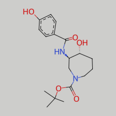 CC(C)(C)OC(=O)N1CCC[C@@H](O)[C@H](NC(=O)c2ccc(O)cc2)C1